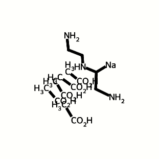 CC(=O)O.CC(=O)O.CC(=O)O.CC(=O)O.CC(=O)O.NCCN[CH]([Na])CN